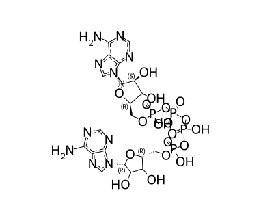 Nc1ncnc2c1ncn2[C@@H]1O[C@H](COP(=O)(O)OP(=O)(O)OP(=O)(O)OP(=O)(O)OC[C@H]2O[C@@H](n3cnc4c(N)ncnc43)[C@@H](O)C2O)C(O)C1O